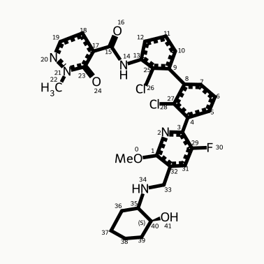 COc1nc(-c2cccc(-c3cccc(NC(=O)c4ccnn(C)c4=O)c3Cl)c2Cl)c(F)cc1CNC1CCCC[C@@H]1O